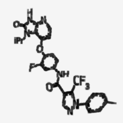 Cc1ccc(-n2ncc(C(=O)Nc3ccc(Oc4ccnc5[nH]c(=O)n(C(C)C)c45)c(F)c3)c2C(F)(F)F)cc1